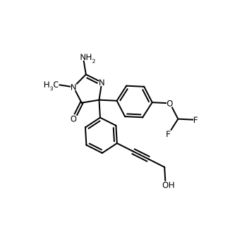 CN1C(=O)C(c2ccc(OC(F)F)cc2)(c2cccc(C#CCO)c2)N=C1N